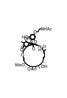 CO[C@H]1/C=C/O[C@@]2(C)Oc3c(C)c(O)c4c(=O)c(c5oc6cc(OCCNC(C)=O)cc(O)c6nc-5c4c3C2=O)NC(=O)/C(C)=C\C=C\[C@H](C)[C@H](O)[C@@H](C)[C@@H](C)[C@@H](C)[C@H](OC(C)=O)[C@@H]1C